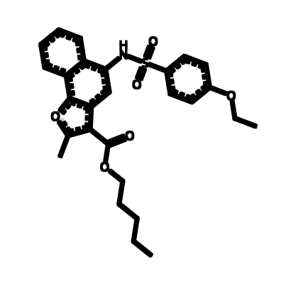 CCCCCOC(=O)c1c(C)oc2c1cc(NS(=O)(=O)c1ccc(OCC)cc1)c1ccccc12